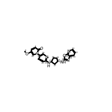 COc1ccc(=O)n(-c2ccc(N[C@H]3CC[C@H](Nc4nc5cccnc5o4)C3)nc2)c1